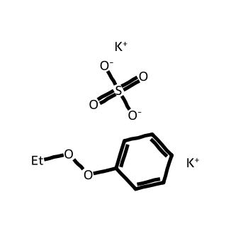 CCOOc1ccccc1.O=S(=O)([O-])[O-].[K+].[K+]